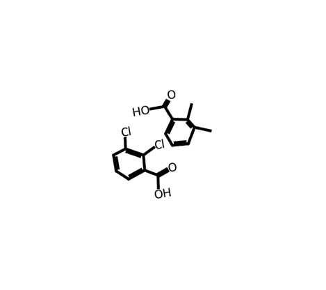 Cc1cccc(C(=O)O)c1C.O=C(O)c1cccc(Cl)c1Cl